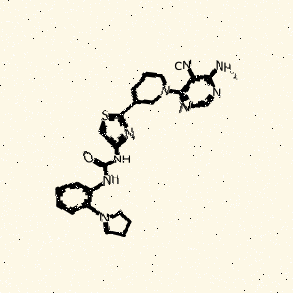 [C-]#[N+]c1c(N)ncnc1N1CCCC(c2nc(NC(=O)Nc3ccccc3N3CCCC3)cs2)C1